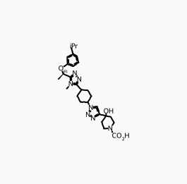 CC(C)c1cccc(O[C@H](C)c2nnc(C3CCC(n4cc(C5(O)CCN(C(=O)O)CC5)nn4)CC3)n2C)c1